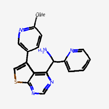 COc1ccc(-c2csc3ncnc(C(N)c4ccccn4)c23)cn1